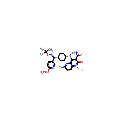 COc1ccc(/C(=N\OC(C)(C)C)[C@H]2CC[C@@H](N(C)c3c(C(N)=O)c(=O)n(C)c4ccc(Cl)nc34)CC2)cn1